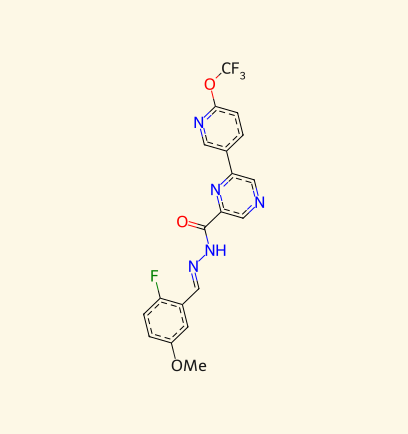 COc1ccc(F)c(/C=N/NC(=O)c2cncc(-c3ccc(OC(F)(F)F)nc3)n2)c1